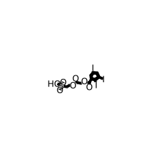 O=C(COC(=O)c1cc(I)cc(I)c1I)OCCS(=O)(=O)O